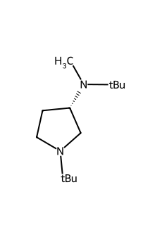 CN([C@H]1CCN(C(C)(C)C)C1)C(C)(C)C